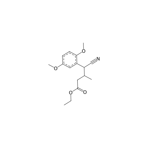 CCOC(=O)CC(C)C(C#N)c1cc(OC)ccc1OC